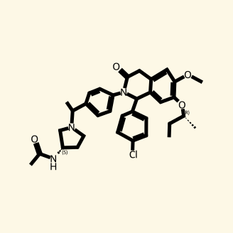 CC[C@@H](C)Oc1cc2c(cc1OC)CC(=O)N(c1ccc(C(C)N3CC[C@H](NC(C)=O)C3)cc1)C2c1ccc(Cl)cc1